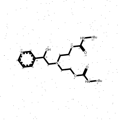 CCCCNC(=O)OCCN(CCOC(=O)NCCCC)CC(O)c1cccnc1